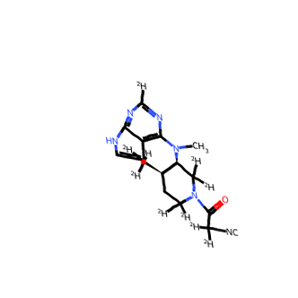 [2H]c1nc(N(C)[C@@H]2[C@H](C([2H])([2H])[2H])CC([2H])([2H])N(C(=O)C([2H])([2H])[N+]#[C-])C2([2H])[2H])c2cc[nH]c2n1